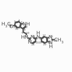 COc1ccc2[nH]cc(CCNc3nccc(Nc4ccc5[nH]c(C)nc5c4)n3)c2c1